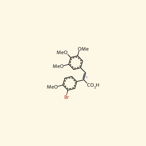 COc1ccc(/C(=C\c2cc(OC)c(OC)c(OC)c2)C(=O)O)cc1Br